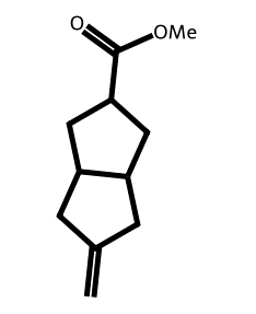 C=C1CC2CC(C(=O)OC)CC2C1